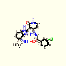 O=C(O)Nc1cccc2[nH]c(-c3c(NC[C@H](O)c4cccc(Cl)c4)cc[nH]c3=O)nc12